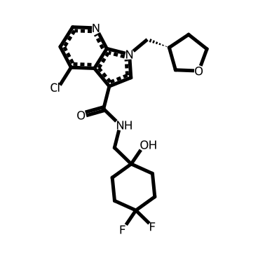 O=C(NCC1(O)CCC(F)(F)CC1)c1cn(C[C@@H]2CCOC2)c2nccc(Cl)c12